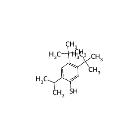 CC(C)c1cc(C(C)(C)C)c(C(C)(C)C)cc1S